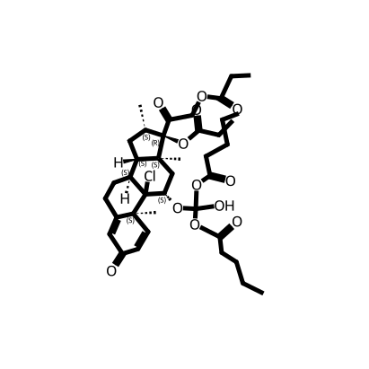 CCCCC(=O)OC(O)(OC(=O)CCCC)O[C@H]1C[C@@]2(C)[C@@H](C[C@H](C)[C@]2(OC(=O)CC)C(=O)COC(=O)CC)[C@@H]2CCC3=CC(=O)C=C[C@]3(C)C12Cl